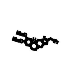 COc1cc2c(cc1OC)[C@@H]1Cc3sc(CC(C)C)cc3CN1CC2